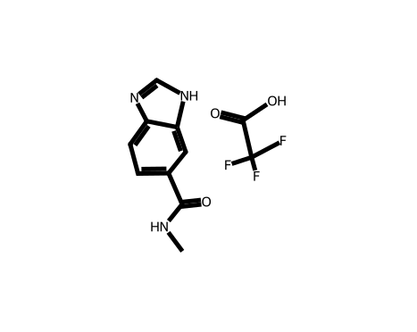 CNC(=O)c1ccc2nc[nH]c2c1.O=C(O)C(F)(F)F